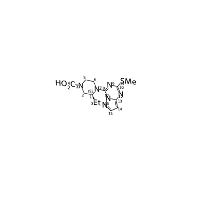 CC[C@H]1CN(C(=O)O)CCN1c1nc(SC)nc2ccnn12